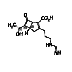 C[C@@H](O)[C@H]1C(=O)C2C(C(=O)O)=C(CCCNC=N)C[C@@H]21